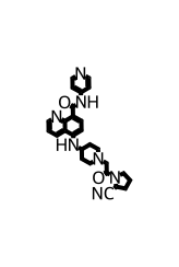 N#CC1CCCN1C(=O)CN1CCC(Nc2ccc(C(=O)Nc3ccncc3)c3ncccc23)CC1